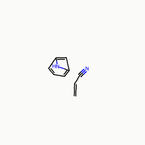 C=CC#N.c1cc2cc(c1)N2